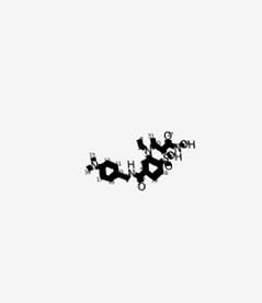 CCN1c2cc(C(=O)NCc3ccc(N(C)C)cc3)ccc2S(=O)(=O)C(C(=O)NO)C1C